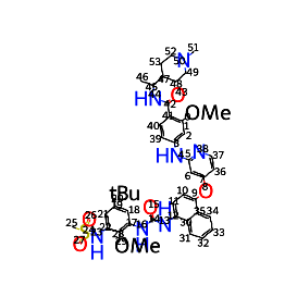 COc1cc(Nc2cc(Oc3ccc(NC(=O)Nc4cc(C(C)(C)C)cc(NS(C)(=O)=O)c4OC)c4ccccc34)ccn2)ccc1C(=O)NC(C)C1CCN(C)CC1